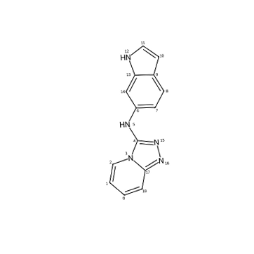 c1ccn2c(Nc3ccc4cc[nH]c4c3)nnc2c1